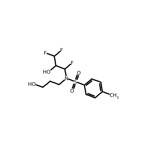 Cc1ccc(S(=O)(=O)N(CCCO)C(F)C(O)C(F)F)cc1